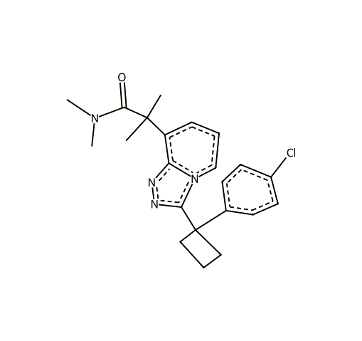 CN(C)C(=O)C(C)(C)c1cccn2c(C3(c4ccc(Cl)cc4)CCC3)nnc12